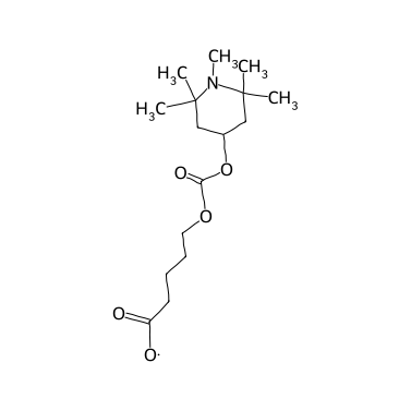 CN1C(C)(C)CC(OC(=O)OCCCCC([O])=O)CC1(C)C